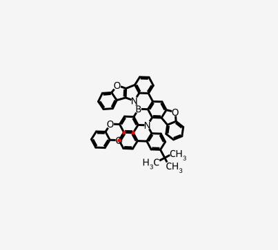 CC(C)(C)c1ccc(N2c3cc4c(cc3B3c5c(cc6oc7ccccc7c6c52)-c2cccc5c6oc7ccccc7c6n3c25)Oc2ccccc2O4)c(-c2ccccc2)c1